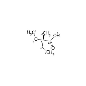 CC[C@](C)(OC)C(=O)O